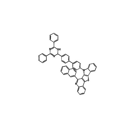 c1ccc(C2=NC(c3ccc(-c4ccc(-n5c6ccccc6c6sc7c8ccccc8nc(-c8ccc9ccccc9c8)c7c65)cc4)cc3)NC(c3ccccc3)=N2)cc1